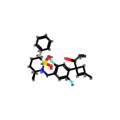 COC(=O)C1(c2cc(F)c(CN3[C@@H](C)CC[C@H](c4ccccc4)S3(=O)=O)cc2F)C=C(C)C1